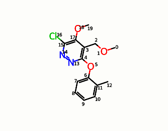 COCc1c(Oc2ccccc2C)nnc(Cl)c1OC